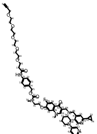 C#CCOCCOCCOCCOCCOCCC(=O)Nc1ccc(COC(=O)N(C)CCOc2cc3c(cc2F)c(=O)c(CN(Cc2ccnc(C4CC4)c2)[C@H]2CCCN(c4ccc(C)nc4)C2)cn3C)cc1